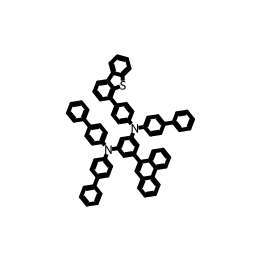 c1ccc(-c2ccc(N(c3ccc(-c4ccccc4)cc3)c3cc(-c4cc5ccccc5c5ccccc45)cc(N(c4ccc(-c5ccccc5)cc4)c4ccc(-c5cccc6c5sc5ccccc56)cc4)c3)cc2)cc1